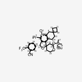 CC(C)c1c2c(c3c([n+]1[O-])CC1(CCC1)C[C@@H]3O[Si](C)(C)C(C)(C)C)C1(CCOCC1)O[C@@H]2c1ccc(C(F)(F)F)c(C#N)c1